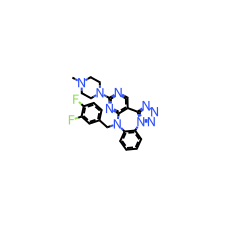 CN1CCN(c2ncc3c(n2)N(Cc2ccc(F)c(F)c2)c2ccccc2-n2nnnc2-3)CC1